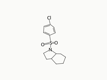 O=S(=O)(c1ccc(Cl)cc1)N1CCC2CCCCC21